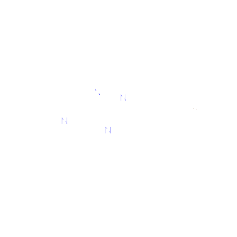 CCN(C)c1nc2cc(Br)ccn2n1